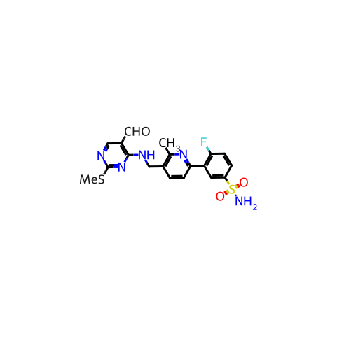 CSc1ncc(C=O)c(NCc2ccc(-c3cc(S(N)(=O)=O)ccc3F)nc2C)n1